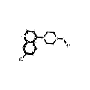 CON1CCN(c2ccnc3cc(O)ccc23)CC1